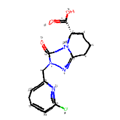 O=C(O)[C@@H]1CCCc2nn(Cc3cccc(Cl)n3)c(=O)n21